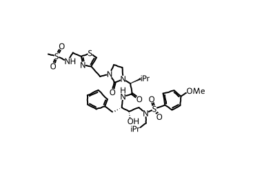 COc1ccc(S(=O)(=O)N(CC(C)C)C[C@H](O)[C@H](Cc2ccccc2)NC(=O)[C@H](C(C)C)N2CCN(Cc3csc(CNS(C)(=O)=O)n3)C2=O)cc1